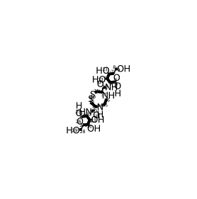 O=C(NC1C(O)O[C@H](CO)[C@@H](O)[C@@H]1O)[C@@H]1CSSC[C@@H](C(=O)NC2C(O)O[C@H](CO)[C@@H](O)[C@@H]2O)NCCN1